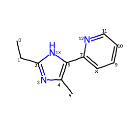 CCc1nc(C)c(-c2ccccn2)[nH]1